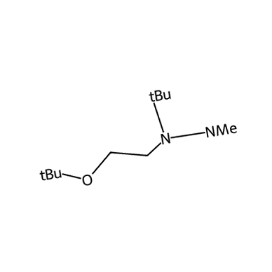 CNN(CCOC(C)(C)C)C(C)(C)C